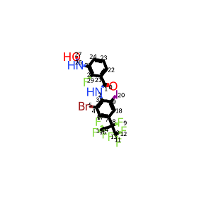 O=C(Nc1c(Br)cc(C(F)(C(F)(F)F)C(F)(F)F)cc1I)c1cccc(NO)c1F